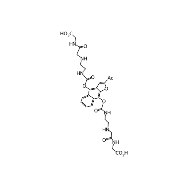 CC(=O)c1cc2c(OC(=O)NCCNCC(=O)NCC(=O)O)c3ccccc3c(OC(=O)NCCNCC(=O)NCC(=O)O)c2o1